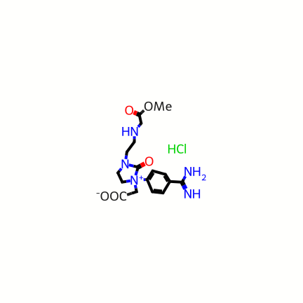 COC(=O)CNCCN1CC[N+](CC(=O)[O-])(c2ccc(C(=N)N)cc2)C1=O.Cl